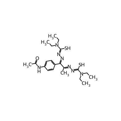 CCN(CC)/C(S)=N/N=C(C)/C(=N/N=C(\S)N(CC)CC)c1ccc(NC(C)=O)cc1